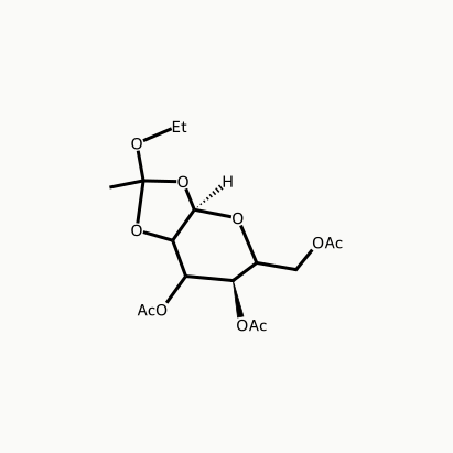 CCOC1(C)OC2C(OC(C)=O)[C@H](OC(C)=O)C(COC(C)=O)O[C@@H]2O1